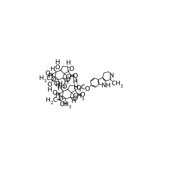 C=C(C)[C@@H]1[C@H]2OC(=O)[C@@H]1[C@]1(O)C[C@H]3O[C@]34C(=O)O[C@H]2[C@]14C.CC(C)(O)[C@@H]1[C@H]2OC(=O)[C@@H]1[C@]1(O)C[C@H]3O[C@]34C(=O)O[C@H]2[C@]14C.COc1ccc2c3c([nH]c2c1)C(C)=NCC3